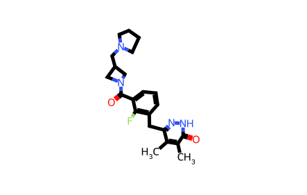 Cc1c(Cc2cccc(C(=O)N3CC(CN4CCCC4)C3)c2F)n[nH]c(=O)c1C